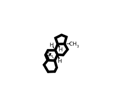 C[C@@]12CCC[C@H]1[C@@H]1CC=C3CCCC[C@]3(C=O)[C@H]1CC2